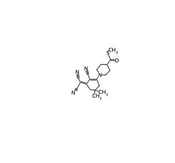 CSC(=O)C1CCN(C2=C(C#N)C(=C(C#N)C#N)CC(C)(C)C2)CC1